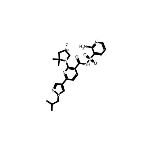 CC(C)Cn1cc(-c2ccc(C(=O)NS(=O)(=O)c3cccnc3N)c(N3C[C@@H](C)CC3(C)C)n2)cn1